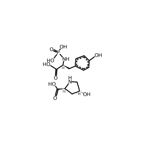 O=C(O)[C@@H]1C[C@@H](O)CN1.O=C(O)[C@H](Cc1ccc(O)cc1)NP(=O)(O)O